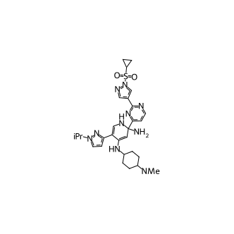 CNC1CCC(NC2=CC(N)(c3ccnc(-c4cnn(S(=O)(=O)C5CC5)c4)n3)NC=C2c2ccn(C(C)C)n2)CC1